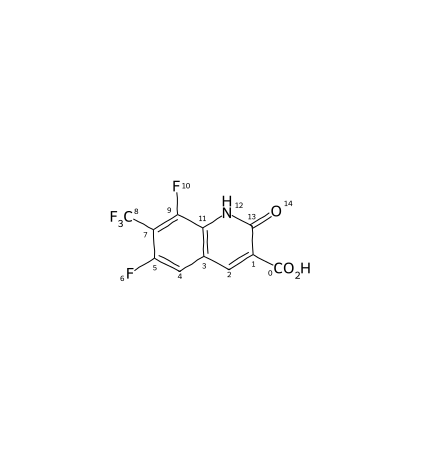 O=C(O)c1cc2cc(F)c(C(F)(F)F)c(F)c2[nH]c1=O